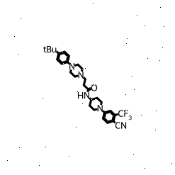 CC(C)(C)c1ccc(N2CCN(CCC(=O)NC3CCN(c4ccc(C#N)c(C(F)(F)F)c4)CC3)CC2)cc1